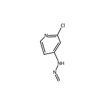 C=NNc1ccnc(Cl)c1